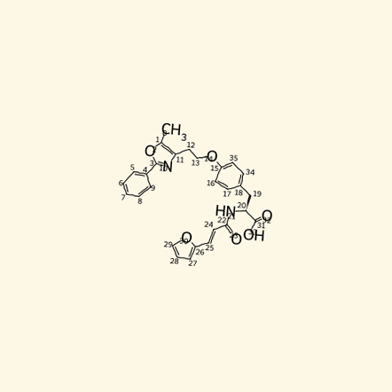 Cc1oc(-c2ccccc2)nc1CCOc1ccc(C[C@H](NC(=O)C=Cc2ccco2)C(=O)O)cc1